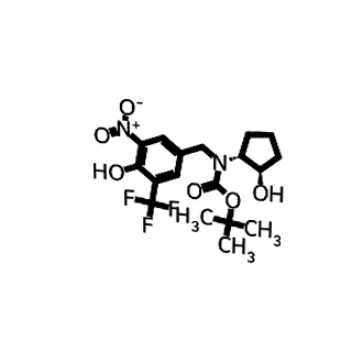 CC(C)(C)OC(=O)N(Cc1cc([N+](=O)[O-])c(O)c(C(F)(F)F)c1)[C@@H]1CCC[C@H]1O